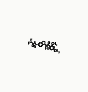 Cc1cnc(C(=O)NC2CCc3cc(-c4noc(C(F)F)n4)ccc32)c(C)n1